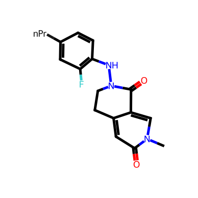 CCCc1ccc(NN2CCc3cc(=O)n(C)cc3C2=O)c(F)c1